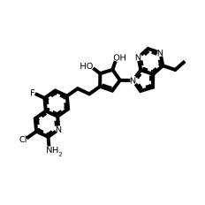 CCc1ncnc2c1ccn2C1C=C(CCc2cc(F)c3cc(Cl)c(N)nc3c2)C(O)C1O